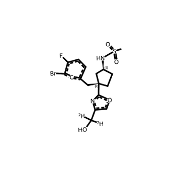 [2H]C([2H])(O)c1coc([C@@]2(Cc3ccc(F)c(Br)c3)CC[C@H](NS(C)(=O)=O)C2)n1